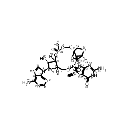 C#S[P@]1(=O)OC[C@H]2O[C@@H](n3cnc4c(N)ncnc43)[C@H](O)[C@@H]2O[P@@](=O)(S)OC[C@@]23CO[C@@H]([C@H](n4cnc5c(=O)[nH]c(N)nc54)O2)[C@@H]3O1